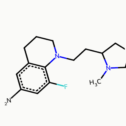 CN1CCCC1CCN1CCCc2cc([N+](=O)[O-])cc(F)c21